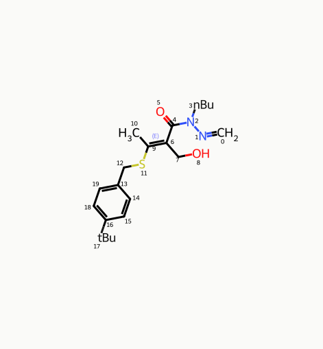 C=NN(CCCC)C(=O)/C(CO)=C(\C)SCc1ccc(C(C)(C)C)cc1